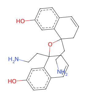 NCCC1(OC2(CCN)CC=Cc3ccc(O)cc32)CC=Cc2ccc(O)cc21